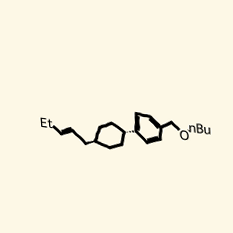 CCC=CC[C@H]1CC[C@H](c2ccc(COCCCC)cc2)CC1